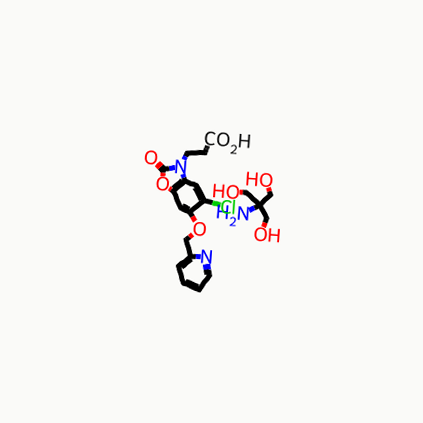 NC(CO)(CO)CO.O=C(O)CCn1c(=O)oc2cc(OCc3ccccn3)c(Cl)cc21